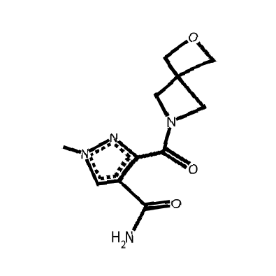 Cn1cc(C(N)=O)c(C(=O)N2CC3(COC3)C2)n1